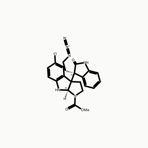 COC(=O)N1CCC2([C@@]3(CCN=[N+]=[N-])C(=O)Nc4ccccc43)c3cc(Cl)ccc3N[C@H]12